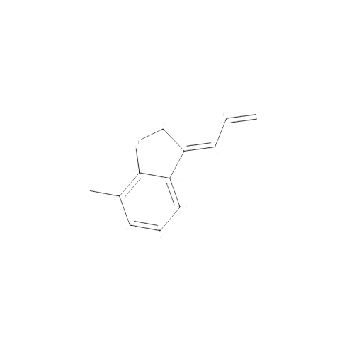 C=C/C=C1\COc2c(C)cccc21